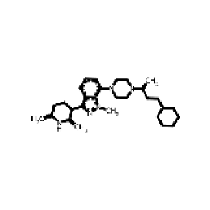 C=C1CCC(c2nn(C)c3c(N4CCN(C(=C)CCC5CCCCC5)CC4)cccc23)C(=C)N1